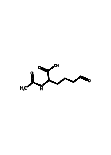 CC(=O)NC(CCC[C]=O)C(=O)O